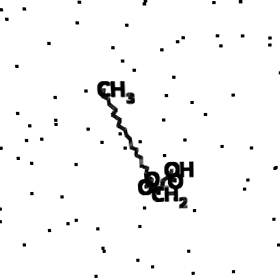 C=C(C=CC(=O)O)C(=O)OCCCCCCCCCCCCCCCCCC